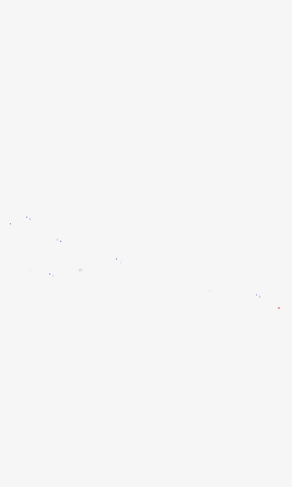 O=C(/C=C/c1ccc(CN2CC[C@H](c3nc4c(cnn4C4CCOCC4)c(=O)[nH]3)C2)cc1)NO